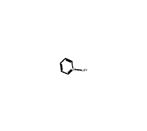 [CH2]CC[n+]1ccccc1